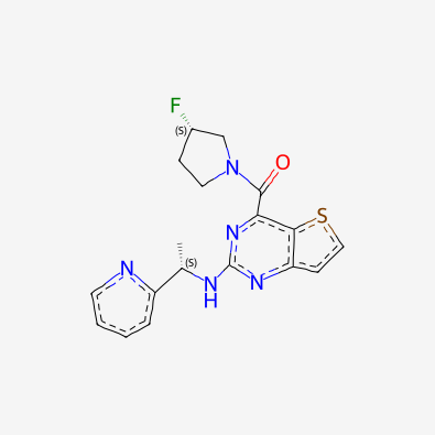 C[C@H](Nc1nc(C(=O)N2CC[C@H](F)C2)c2sccc2n1)c1ccccn1